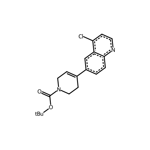 CC(C)(C)OC(=O)N1CC=C(c2ccc3nccc(Cl)c3c2)CC1